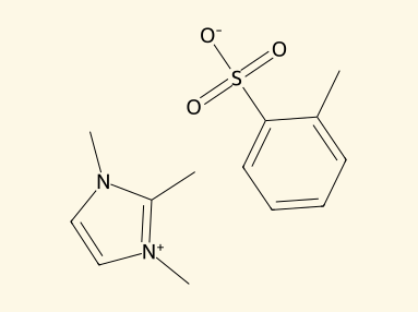 Cc1ccccc1S(=O)(=O)[O-].Cc1n(C)cc[n+]1C